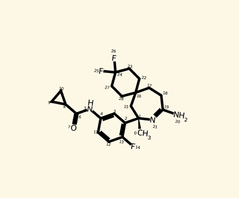 C[C@@]1(c2cc(NC(=O)C3CC3)ccc2F)CC2(CCC(N)=N1)CCC(F)(F)CC2